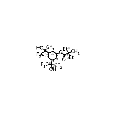 CCC(C)(CC)C(=O)OC1CC(C(O)(C(F)(F)F)C(F)(F)F)CC(C(O)(C(F)(F)F)C(F)(F)F)C1